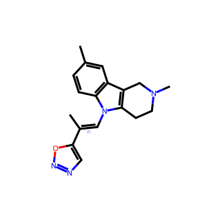 C/C(=C\n1c2c(c3cc(C)ccc31)CN(C)CC2)c1cnno1